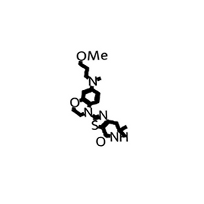 COCCCN(C)c1ccc2c(c1)OCCN2c1nc2c(s1)C(=O)NC(C)(C)C2